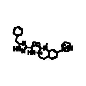 CN1C(=O)[C@@H](NC(=O)c2n[nH]c(Cc3ccccc3)n2)CCc2ccc(N3CCN4CCC3CC4)cc21